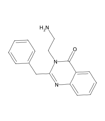 NCCn1c(Cc2ccccc2)nc2ccccc2c1=O